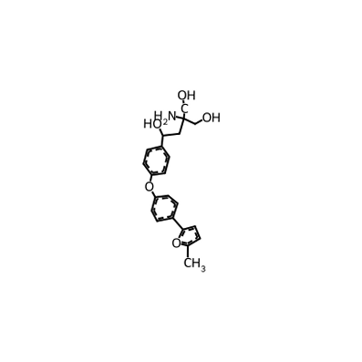 Cc1ccc(-c2ccc(Oc3ccc(C(O)CC(N)(CO)CO)cc3)cc2)o1